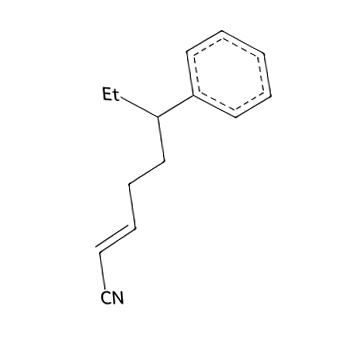 CCC(CCC=CC#N)c1ccccc1